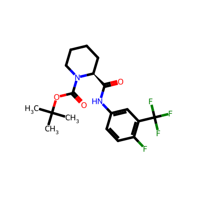 CC(C)(C)OC(=O)N1CCCC[C@H]1C(=O)Nc1ccc(F)c(C(F)(F)F)c1